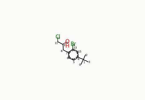 CC(C)(C)c1ccc(CC(O)CCl)c(Br)c1